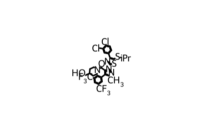 Cc1nn(-c2nc(-c3ccc(Cl)c(Cl)c3)c(SC(C)C)s2)c(C(=O)N2CCC(CO)CC2)c1-c1cc(C(F)(F)F)cc(C(F)(F)F)c1